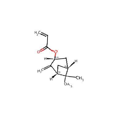 C=CC(=O)O[C@@H]1C[C@H]2C[C@@H](C1=C)C2(C)C